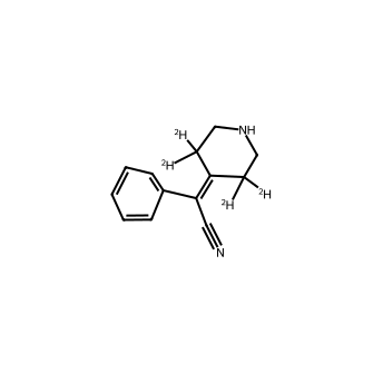 [2H]C1([2H])CNCC([2H])([2H])C1=C(C#N)c1ccccc1